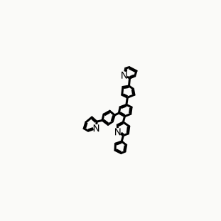 c1ccc(-c2ccc(-c3ccc(-c4ccc(-c5ccccn5)cc4)cc3-c3ccc(-c4ccccn4)cc3)cn2)cc1